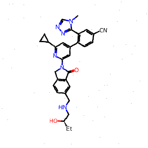 CC[C@@H](O)CNCc1ccc2c(c1)C(=O)N(c1cc(-c3ccc(C#N)cc3-c3nncn3C)cc(C3CC3)n1)C2